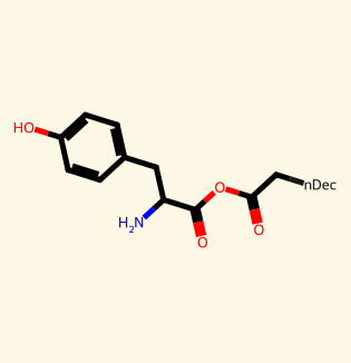 CCCCCCCCCCCC(=O)OC(=O)C(N)Cc1ccc(O)cc1